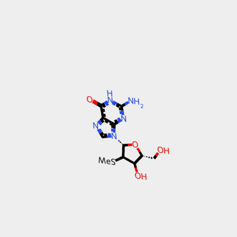 CSC1C(O)[C@@H](CO)O[C@H]1n1cnc2c(=O)[nH]c(N)nc21